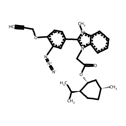 C#CCOc1ccc(-c2n(CC(=O)O[C@@H]3C[C@H](C)CC[C@H]3C(C)C)c3ccccc3[n+]2C)cc1N=[N+]=[N-]